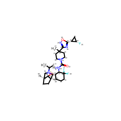 CC(C)N1C[C@H]2CC[C@@H](C1)[C@H]2O[C@H]1CCCC(F)(F)[C@@H]1NC(=O)N1CCC(C)(c2noc([C@@H]3C[C@@H]3F)n2)CC1